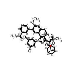 COc1cc2c(cc1-c1cncc(C(N)=O)c1)-c1c(c(C(=O)N3CC4CC(C3)N4C(=O)OC(C)(C)C)nn1-c1cc(Cl)cc(Cl)c1)CC2